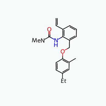 C=Cc1cccc(COc2ccc(CC)cc2C)c1NC(=O)NC